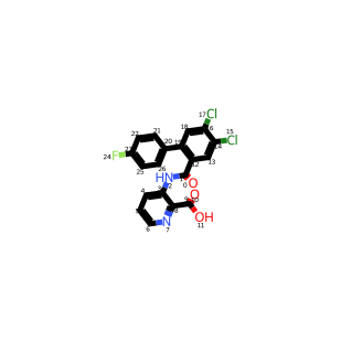 O=C(Nc1cccnc1C(=O)O)c1cc(Cl)c(Cl)cc1-c1ccc(F)cc1